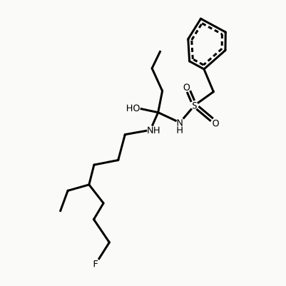 CCCC(O)(NCCCC(CC)CCCF)NS(=O)(=O)Cc1ccccc1